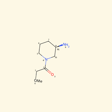 COCC(=O)N1CCC[C@@H](N)C1